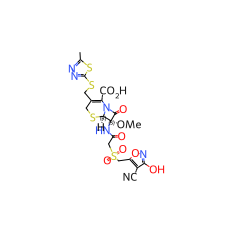 CO[C@@]1(NC(=O)CS(=O)(=O)Cc2onc(O)c2C#N)C(=O)N2C(C(=O)O)=C(CSc3nnc(C)s3)CS[C@@H]21